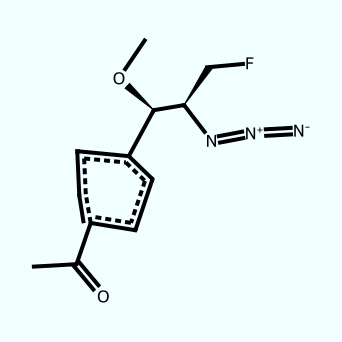 CO[C@H](c1ccc(C(C)=O)cc1)[C@@H](CF)N=[N+]=[N-]